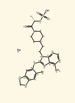 C[C@H](OS(=O)(=O)O)C(=O)N1CCC(CCn2c(Sc3cc4c(cc3Br)OCO4)nc3c(N)ncnc32)CC1.[Na]